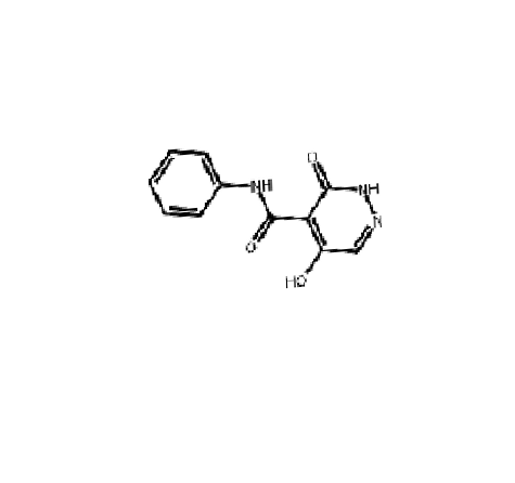 O=C(Nc1ccccc1)c1c(O)cn[nH]c1=O